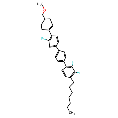 CCCCCCCc1ccc(-c2ccc(-c3ccc(C4=CCC(COC)CC4)c(F)c3)cc2)c(F)c1F